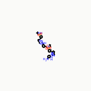 CC(C)(C)NS(=O)(=O)c1cccc(-c2ccc3cnc(Nc4cccc(C(=O)ON(C(C)(C)C)S(=O)(=O)c5cccc(-c6ccc7cnc(Nc8cccc(N)c8)nn67)c5)c4)nn23)c1